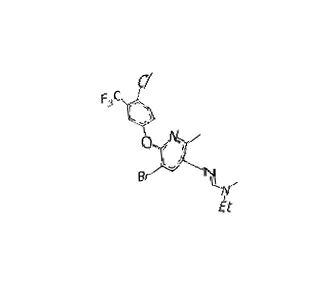 CCN(C)C=Nc1cc(Br)c(Oc2ccc(Cl)c(C(F)(F)F)c2)nc1C